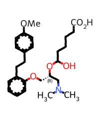 COc1ccc(CCc2ccccc2OC[C@@H](CN(C)C)OC(O)CCCCC(=O)O)cc1